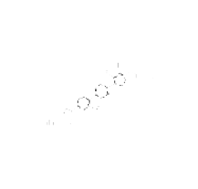 CCCCCCCCOc1ccc(-c2ccc(-c3ccc(C4COC(CCC)OC4)cc3F)cc2)c(F)c1F